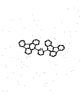 c1cc(-c2c3ccccc3c3c4c(cccc24)-c2ccccc2-3)nc(-c2c3ccccc3c3c4c(cccc24)-c2ccccc2-3)c1